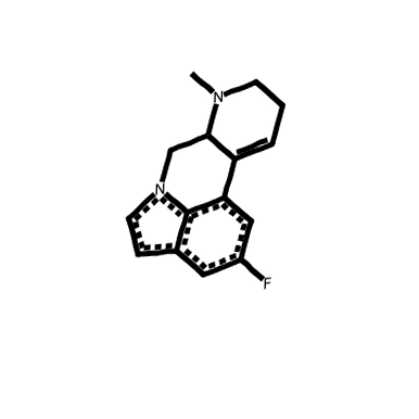 CN1CCC=C2c3cc(F)cc4ccn(c34)CC21